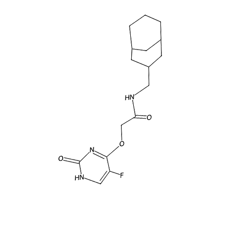 O=C(COc1nc(=O)[nH]cc1F)NCC1CC2CCCC(C2)C1